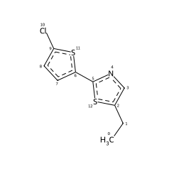 CCc1cnc(-c2ccc(Cl)s2)s1